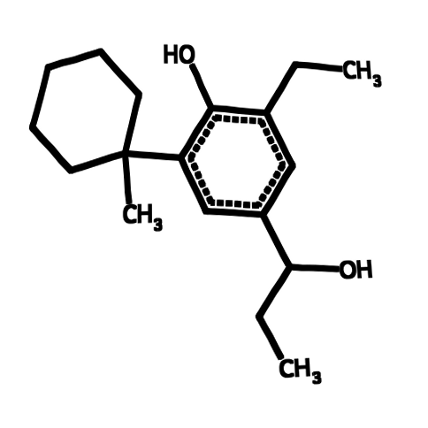 CCc1cc(C(O)CC)cc(C2(C)CCCCC2)c1O